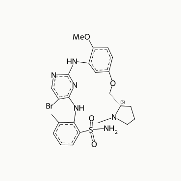 COc1ccc(OC[C@@H]2CCCN2C)cc1Nc1ncc(Br)c(Nc2c(C)cccc2S(N)(=O)=O)n1